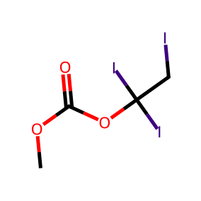 COC(=O)OC(I)(I)CI